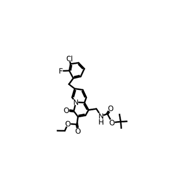 CCOC(=O)c1cc(CNC(=O)OC(C)(C)C)c2ccc(Cc3cccc(Cl)c3F)cn2c1=O